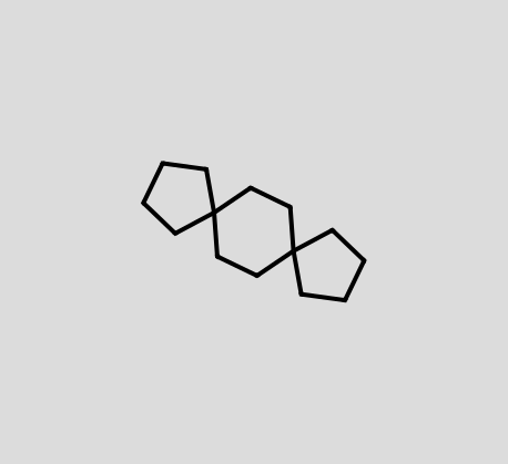 C1CCC2(C1)CCC1(CCCC1)CC2